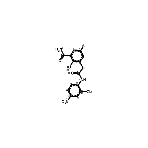 NC(=O)c1cc(Cl)cc(CC(=O)Nc2ccc([N+](=O)[O-])cc2Cl)c1O